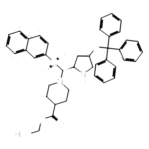 CCOC(=O)C1CCN([C@H](C2CC(SC(c3ccccc3)(c3ccccc3)c3ccccc3)CN2)S(=O)(=O)c2ccc3ccccc3c2)CC1